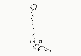 CCc1ncnc(NCCCCCCCCSCc2ccccc2)c1Cl